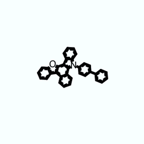 c1ccc(-c2ccc(-n3c4ccccc4c4c5oc6ccccc6c5c5ccccc5c43)cc2)cc1